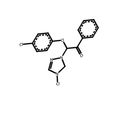 O=C(c1ccccc1)C(Oc1ccc(Cl)cc1)N1CN(Cl)C=N1